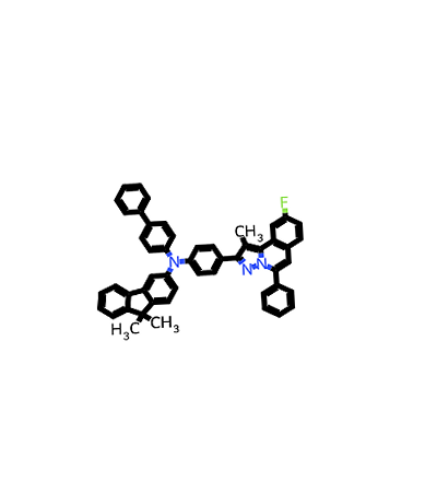 Cc1c(-c2ccc(N(c3ccc(-c4ccccc4)cc3)c3ccc4c(c3)-c3ccccc3C4(C)C)cc2)nn2c(-c3ccccc3)cc3ccc(F)cc3c12